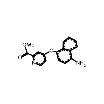 COC(=O)c1cc(Oc2ccc(N)c3ccccc23)ccn1